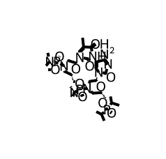 COP(=O)(N(C)C)N1C[C@@H](COP(=O)(N(C)C)N2C[C@@H](COP(=O)(C(C)C)C(C)C)O[C@@H](n3ccc(N)nc3=O)C2)O[C@@H](n2cc(C)c(=O)[nH]c2=O)C1